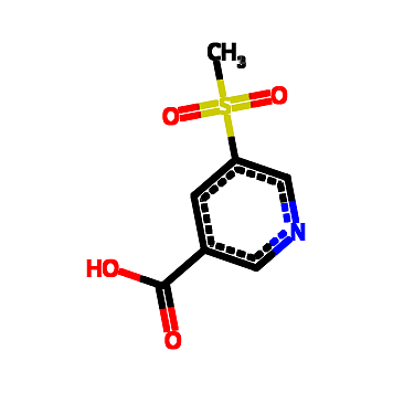 CS(=O)(=O)c1cncc(C(=O)O)c1